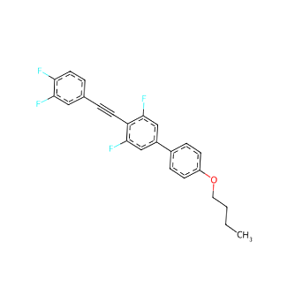 CCCCOc1ccc(-c2cc(F)c(C#Cc3ccc(F)c(F)c3)c(F)c2)cc1